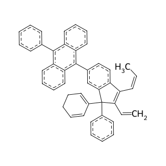 C=CC1=C(/C=C\C)c2ccc(-c3c4ccccc4c(-c4ccccc4)c4ccccc34)cc2C1(C1=CCCC=C1)c1ccccc1